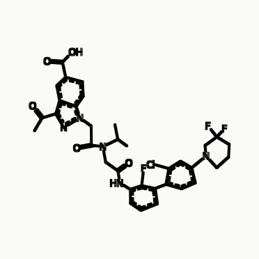 CC(=O)c1nn(CC(=O)N(CC(=O)Nc2cccc(-c3ccc(N4CCCC(F)(F)C4)cc3Cl)c2F)C(C)C)c2ccc(C(=O)O)cc12